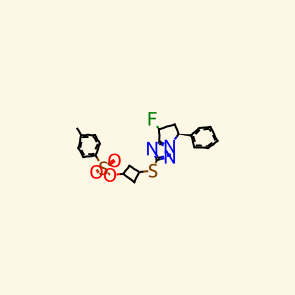 Cc1ccc(S(=O)(=O)OC2CC(Sc3nc4n(n3)[C@H](c3ccccc3)C[C@@H]4F)C2)cc1